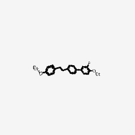 CCOc1ccc(CCc2ccc(-c3ccc(OCC)c(F)c3)cc2)cc1